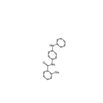 O=C(Nc1ccc(Nc2ccccc2)cc1)c1ccccc1O